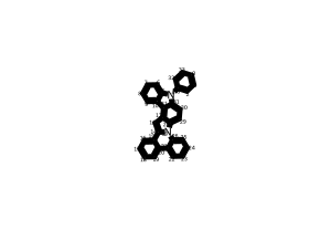 c1ccc(-n2c3ccccc3c3c4cc5c6ccccc6c6ccccc6n5c4ccc32)cc1